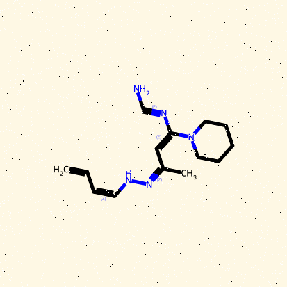 C=C/C=C\N\N=C(C)/C=C(/N=C/N)N1CCCCC1